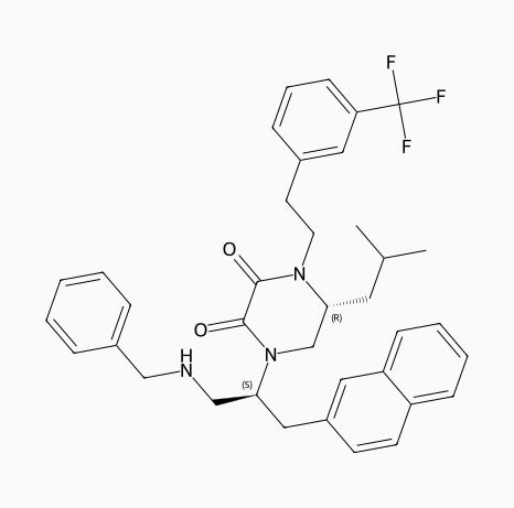 CC(C)C[C@@H]1CN([C@H](CNCc2ccccc2)Cc2ccc3ccccc3c2)C(=O)C(=O)N1CCc1cccc(C(F)(F)F)c1